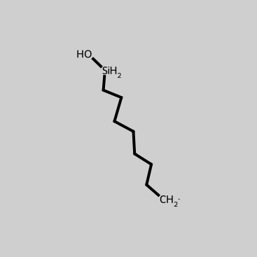 [CH2]CCCCCCC[SiH2]O